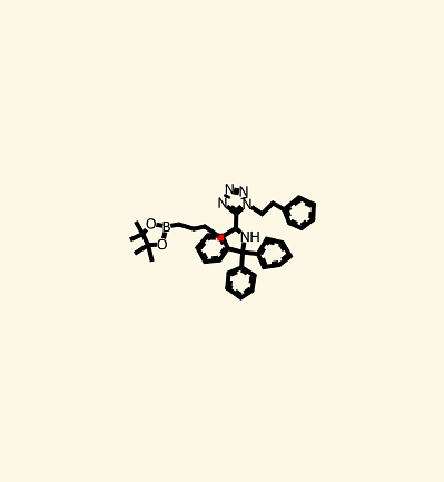 CC1(C)OB(CCCCC(NC(c2ccccc2)(c2ccccc2)c2ccccc2)c2nnnn2CCc2ccccc2)OC1(C)C